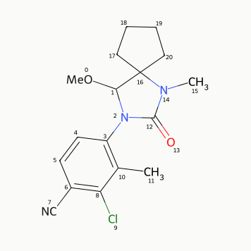 COC1N(c2ccc(C#N)c(Cl)c2C)C(=O)N(C)C12CCCC2